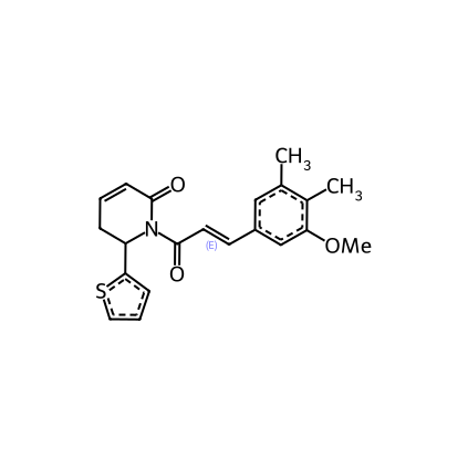 COc1cc(/C=C/C(=O)N2C(=O)C=CCC2c2cccs2)cc(C)c1C